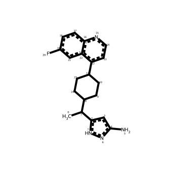 CC(c1cc(N)n[nH]1)C1CCC(c2ccnc3ccc(F)cc23)CC1